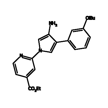 CCOC(=O)c1ccnc(-n2cc(N)c(-c3cccc(OCC(C)C)c3)c2)c1